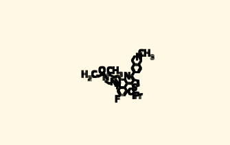 C=CC(=O)N1CCn2nc(-c3nc(-c4ccc5c(c4)CCN(C)C5)c4ccsc4c3-c3c(F)cc(F)cc3OC(C)C)cc2C1C